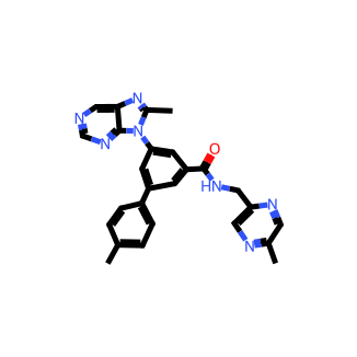 Cc1ccc(-c2cc(C(=O)NCc3cnc(C)cn3)cc(-n3c(C)nc4cncnc43)c2)cc1